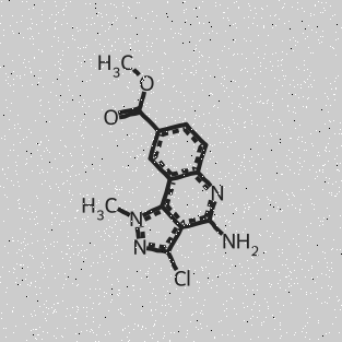 COC(=O)c1ccc2nc(N)c3c(Cl)nn(C)c3c2c1